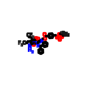 CC(C)(C)OP(=O)(OCc1ccc(C(=O)OCN2C(=O)C(NC(=O)[C@H](CCC(F)(F)F)[C@H](CCC(F)(F)F)C(N)=O)N=C(c3ccccc3)c3ccccc32)cc1)OC(C)(C)C